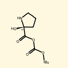 CC(C)(C)OC(=O)OC(=O)[C@@]1(O)CCCN1